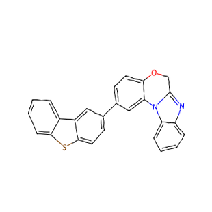 c1ccc2c(c1)nc1n2-c2cc(-c3ccc4sc5ccccc5c4c3)ccc2OC1